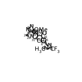 COC(=O)C(c1ccc(-c2nc(C(F)(F)F)cn2C)cc1)c1nc(-c2c(OC)ncnc2C2CC2)ncc1C